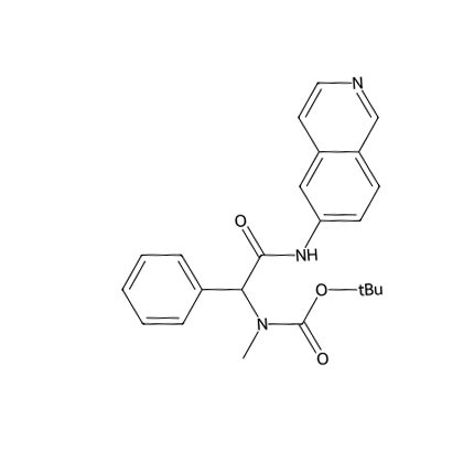 CN(C(=O)OC(C)(C)C)C(C(=O)Nc1ccc2cnccc2c1)c1ccccc1